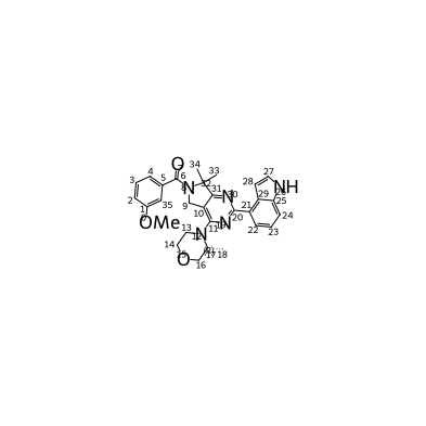 COc1cccc(C(=O)N2Cc3c(N4CCOC[C@H]4C)nc(-c4cccc5[nH]ccc45)nc3C2(C)C)c1